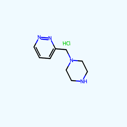 Cl.c1cnnc(CN2CCNCC2)c1